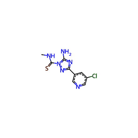 CNC(=S)n1nc(-c2cncc(Cl)c2)nc1N